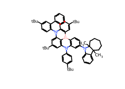 CC(C)(C)c1ccc(N2c3cc(N4c5ccccc5C5(C)CCCCCC45C)ccc3B3c4cc(C(C)(C)C)ccc4N(c4ccc(C(C)(C)C)cc4-c4ccccc4)c4cc(C(C)(C)C)cc2c43)cc1